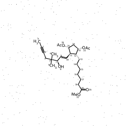 CC#CCC(C)(C)[C@H](O)/C=C/[C@@H]1[C@@H](CCCCCCC(=O)OC)[C@@H](OC(C)=O)C[C@H]1OC(C)=O